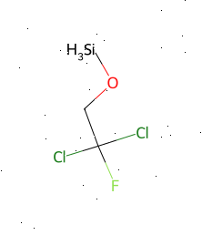 FC(Cl)(Cl)CO[SiH3]